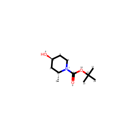 C[C@@H]1C[C@@H](O)CCN1C(=O)OC(C)(C)C